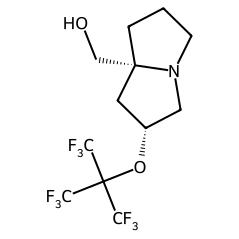 OC[C@]12CCCN1C[C@H](OC(C(F)(F)F)(C(F)(F)F)C(F)(F)F)C2